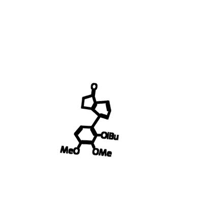 COc1ccc(-c2cccc3c2CCC3=O)c(OC[C](C)C)c1OC